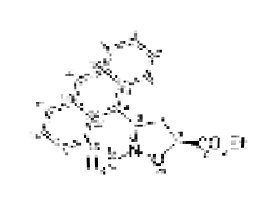 CCOC(=O)[C@@H]1CC(c2c3ccccc3cc3ccccc23)N(C)O1